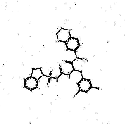 CN(C(=O)C(Cc1cc(F)cc(F)c1)NC(=O)NS(=O)(=O)N1CCc2cccnc21)c1ccc2c(c1)OCCO2